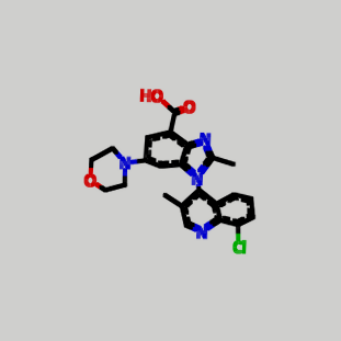 Cc1cnc2c(Cl)cccc2c1-n1c(C)nc2c(C(=O)O)cc(N3CCOCC3)cc21